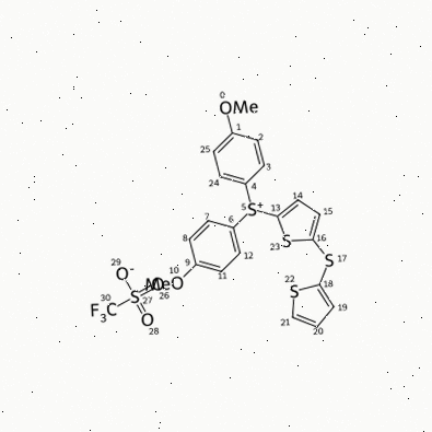 COc1ccc([S+](c2ccc(OC)cc2)c2ccc(Sc3cccs3)s2)cc1.O=S(=O)([O-])C(F)(F)F